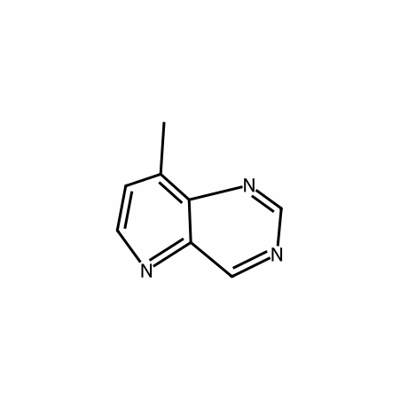 Cc1ccnc2cncnc12